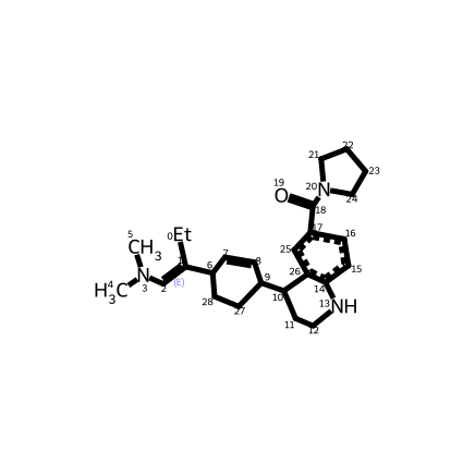 CC/C(=C\N(C)C)C1C=CC(C2CCNc3ccc(C(=O)N4CCCC4)cc32)CC1